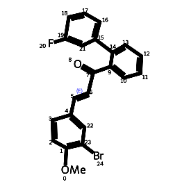 COc1ccc(/C=C/C(=O)c2ccccc2-c2cccc(F)c2)cc1Br